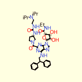 CCNC(=O)[C@H]1O[C@@H](n2cnc3c(NCC(c4ccccc4)c4ccccc4)nc(C(=O)N4CC[C@H](NC(=O)NCCN(C(C)C)C(C)C)C4)nc32)[C@H](O)[C@@H]1O